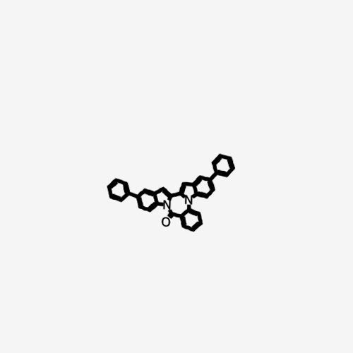 O=c1c2ccccc2n2c3ccc(-c4ccccc4)cc3cc2c2cc3cc(-c4ccccc4)ccc3n12